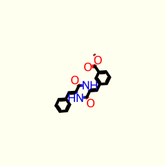 COC(=O)c1cccc(C=c2[nH]c(=O)c(=Cc3ccccc3)[nH]c2=O)c1